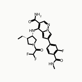 CC[C@H]1CN(C(=O)C(F)F)C[C@H]1Nc1c(C(N)=O)cnn2cc(-c3ccc(C(=O)NC)c(F)c3)cc12